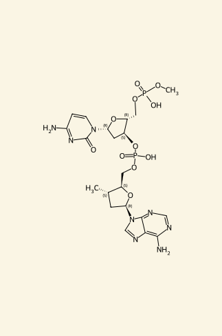 COP(=O)(O)OC[C@H]1O[C@@H](n2ccc(N)nc2=O)C[C@@H]1OP(=O)(O)OC[C@H]1O[C@@H](n2cnc3c(N)ncnc32)C[C@@H]1C